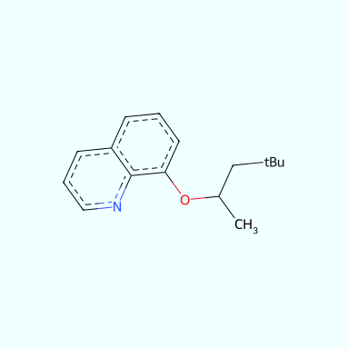 CC(CC(C)(C)C)Oc1cccc2cccnc12